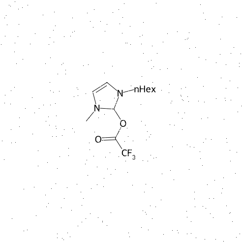 CCCCCCN1C=CN(C)C1OC(=O)C(F)(F)F